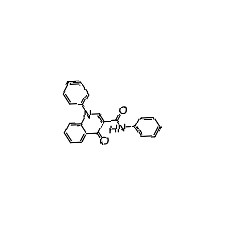 O=C(Nc1ccccc1)c1cn(-c2ccccc2)c2ccccc2c1=O